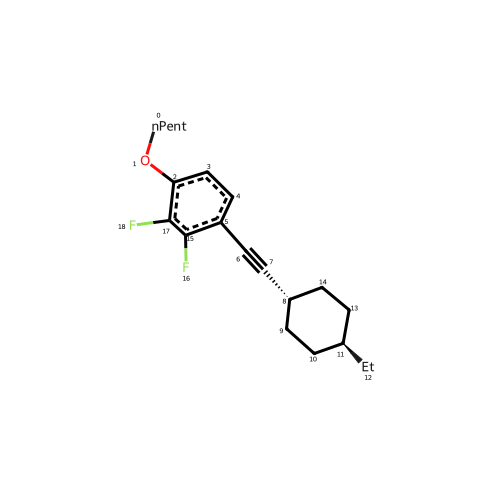 CCCCCOc1ccc(C#C[C@H]2CC[C@H](CC)CC2)c(F)c1F